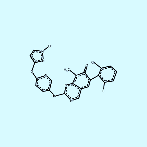 CCn1ccc(Oc2ccc(Nc3ncc4cc(-c5c(Cl)cccc5Cl)c(=O)n(C)c4n3)cn2)n1